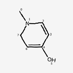 CN1C=CC(O)=CC1